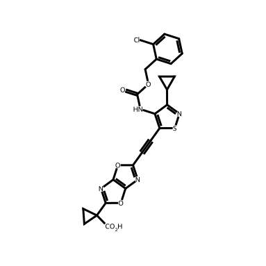 O=C(Nc1c(C2CC2)nsc1C#Cc1nc2oc(C3(C(=O)O)CC3)nc2o1)OCc1ccccc1Cl